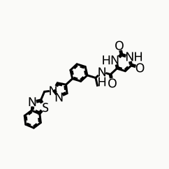 CC(NC(=O)c1cc(=O)[nH]c(=O)[nH]1)c1cccc(-c2cnn(Cc3nc4ccccc4s3)c2)c1